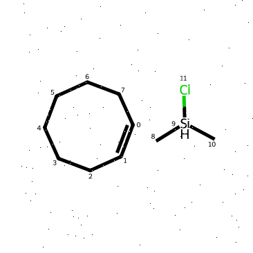 C1=CCCCCCC1.C[SiH](C)Cl